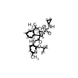 Cc1ccc(NC(=O)C2(c3ccccc3C(C)C)CN(S(=O)(=O)NC3CC3)C2)c(OC(F)F)n1